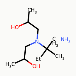 CCC(C)(C)N(CC(C)O)CC(C)O.N